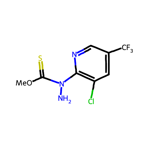 COC(=S)N(N)c1ncc(C(F)(F)F)cc1Cl